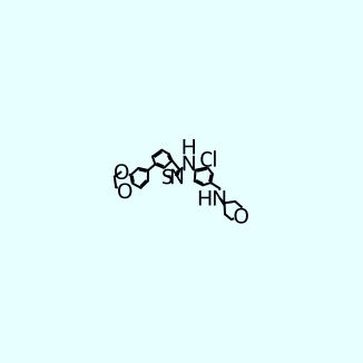 Clc1cc(CNC2CCOCC2)ccc1Nc1nsc2c(-c3ccc4c(c3)OCCO4)cccc12